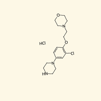 Cl.Clc1cc(N2CCNCC2)ccc1OCCN1CCOCC1